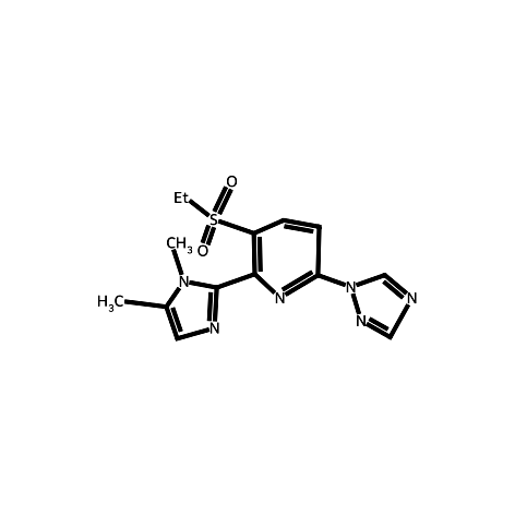 CCS(=O)(=O)c1ccc(-n2cncn2)nc1-c1ncc(C)n1C